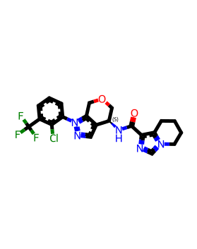 O=C(N[C@@H]1COCc2c1cnn2-c1cccc(C(F)(F)F)c1Cl)c1ncn2c1CCCC2